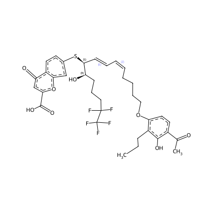 CCCc1c(OCCCC/C=C\C=C\[C@H](Sc2ccc3c(=O)cc(C(=O)O)oc3c2)[C@H](O)CCCC(F)(F)C(F)(F)F)ccc(C(C)=O)c1O